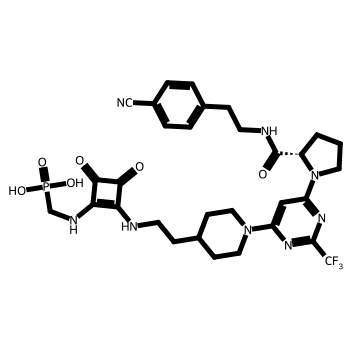 N#Cc1ccc(CCNC(=O)[C@@H]2CCCN2c2cc(N3CCC(CCNc4c(NCP(=O)(O)O)c(=O)c4=O)CC3)nc(C(F)(F)F)n2)cc1